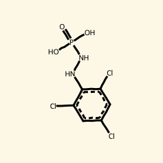 O=P(O)(O)NNc1c(Cl)cc(Cl)cc1Cl